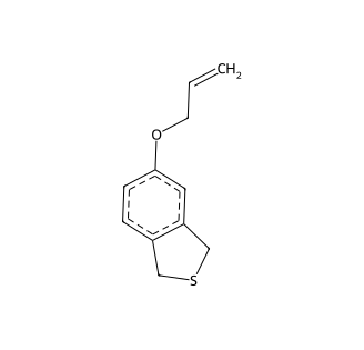 C=CCOc1ccc2c(c1)CSC2